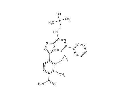 Cc1c(C(N)=O)ccc(-c2cnc3c(NCC(C)(C)O)nc(-c4ccccc4)cn23)c1C1CC1